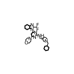 FC(F)c1nc2ccccc2n1-c1cc(N2CCOCC2)nc(NC[C@H]2CCN(Cc3ccccc3)C2)n1